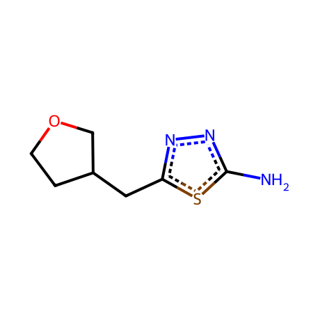 Nc1nnc(CC2CCOC2)s1